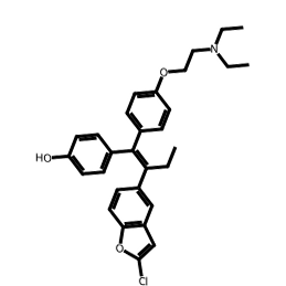 CC/C(=C(/c1ccc(O)cc1)c1ccc(OCCN(CC)CC)cc1)c1ccc2oc(Cl)cc2c1